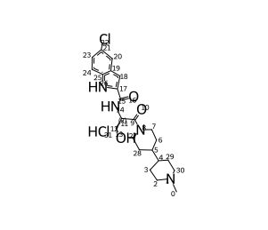 CN1CCC(C2CCN(C(=O)[C@@H](CO)NC(=O)c3cc4cc(Cl)ccc4[nH]3)CC2)CC1.Cl